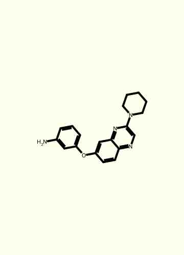 Nc1cccc(Oc2ccc3ncc(N4CCCCC4)nc3c2)c1